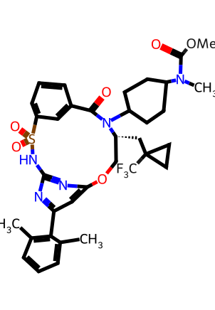 COC(=O)N(C)C1CCC(N2C(=O)c3cccc(c3)S(=O)(=O)Nc3nc(cc(-c4c(C)cccc4C)n3)OC[C@H]2CC2(C(F)(F)F)CC2)CC1